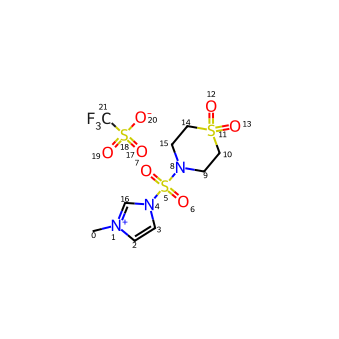 C[n+]1ccn(S(=O)(=O)N2CCS(=O)(=O)CC2)c1.O=S(=O)([O-])C(F)(F)F